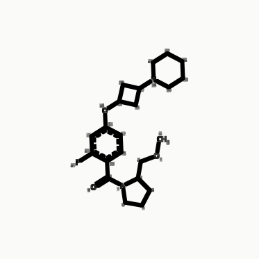 COCC1CCCN1C(=O)c1ccc(OC2CC(N3CCCCC3)C2)cc1F